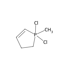 CP1(Cl)(Cl)C=CCC1